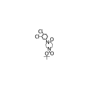 CC(C)(C)OC(=O)N1CCC(=O)N(c2ccc(Cl)c(Cl)c2)CC1